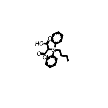 CCCC[Si](c1ccccc1)(c1ccccc1)C(C(=O)O)C(=O)O